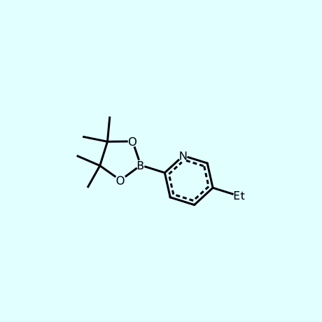 CCc1ccc(B2OC(C)(C)C(C)(C)O2)nc1